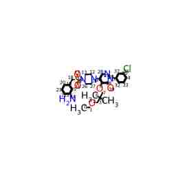 CCOCC(C)(C)COc1c(N2CCN(S(=O)(=O)Cc3cccc(N)c3)CC2)cnn(-c2cccc(Cl)c2)c1=O